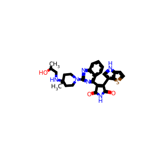 CC(O)CNC1(C)CCN(c2nc(C3=C(c4c[nH]c5ccsc45)C(=O)NC3=O)c3ccccc3n2)CC1